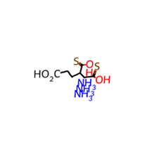 N.N.N.O=C(O)CCC(CC(O)=S)C(O)=S